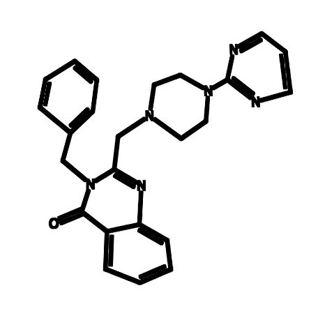 O=c1c2ccccc2nc(CN2CCN(c3ncccn3)CC2)n1Cc1ccccc1